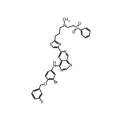 CN(CCCc1nc(-c2cc3c(Nc4ccc(OCc5cccc(F)c5)c(Br)c4)ncnc3cn2)cs1)CCS(=O)(=O)c1ccccc1